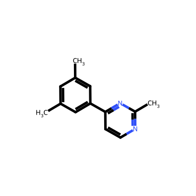 Cc1cc(C)cc(-c2ccnc(C)n2)c1